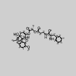 COc1ccc(C)c2c1O[C@H]1C(OC(=O)[C@H](C)OC(=O)CCNC(=O)[C@@H](N)Cc3ccccc3)=CC[C@@]3(O)[C@@H](C)N(C)CC[C@]213